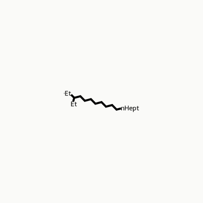 C[CH]C(CC)CCCCCCCCCCCCCCC